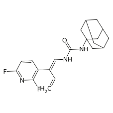 C=C/C(=C\NC(=O)NC12CC3CC(CC(C3)C1)C2)c1ccc(F)nc1F